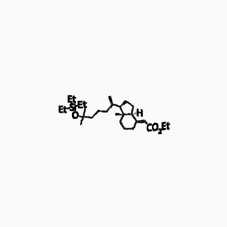 CCOC(=O)/C=C1\CCC[C@]2(C)[C@@H]([C@H](C)CCCC(C)(C)O[Si](CC)(CC)CC)CC[C@@H]12